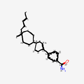 CCCCCC1(C)CCC(C2CCC(c3ccc(C(N)=O)cc3)CC2)CC1